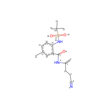 C=C(CCC#N)NC(=O)c1cc(C)ccc1NS(=O)(=O)C(C)(C)C